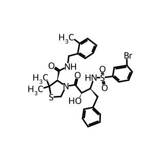 Cc1ccccc1CNC(=O)[C@H]1N(C(=O)[C@@H](O)[C@H](Cc2ccccc2)NS(=O)(=O)c2cccc(Br)c2)CSC1(C)C